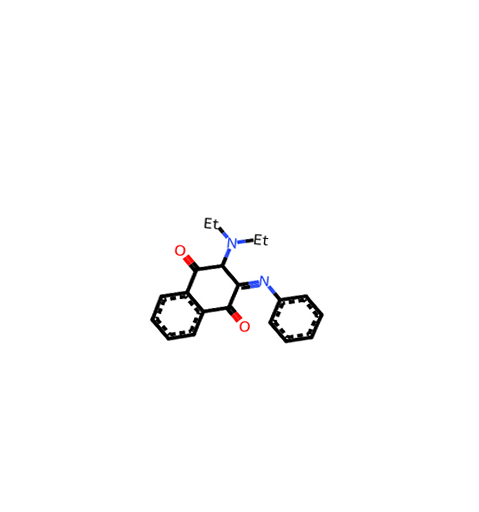 CCN(CC)C1C(=O)c2ccccc2C(=O)C1=Nc1ccccc1